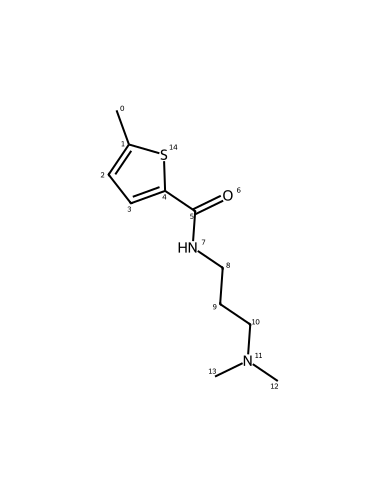 Cc1ccc(C(=O)NCCCN(C)C)s1